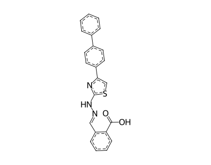 O=C(O)c1ccccc1C=NNc1nc(-c2ccc(-c3ccccc3)cc2)cs1